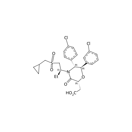 CC[C@@H](CS(=O)(=O)CC1CC1)N1C(=O)[C@@H](CC(=O)O)O[C@H](c2cccc(Cl)c2)[C@H]1c1ccc(Cl)cc1